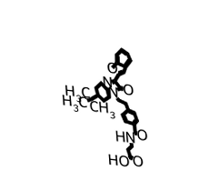 CC(C)(C)C1CCC2(CC1)N=C(c1cc3ccccc3o1)C(=O)N2CCc1ccc(C(=O)NCCC(=O)O)cc1